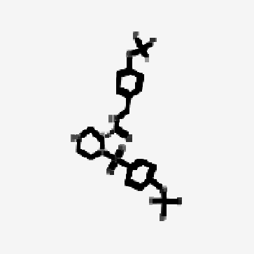 O=C(NCc1ccc(OC(F)(F)F)cc1)[C@H]1CNCCN1S(=O)(=O)c1ccc(OC(F)(F)F)cc1